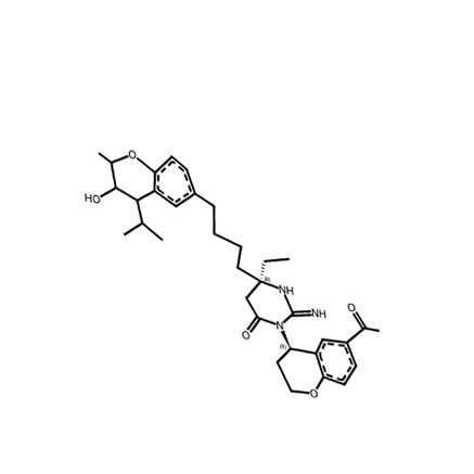 CC[C@@]1(CCCCc2ccc3c(c2)C(C(C)C)C(O)C(C)O3)CC(=O)N([C@@H]2CCOc3ccc(C(C)=O)cc32)C(=N)N1